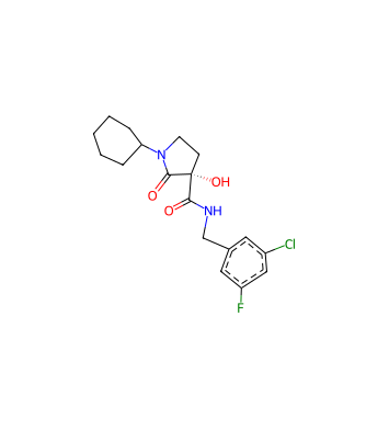 O=C(NCc1cc(F)cc(Cl)c1)[C@]1(O)CCN(C2CCCCC2)C1=O